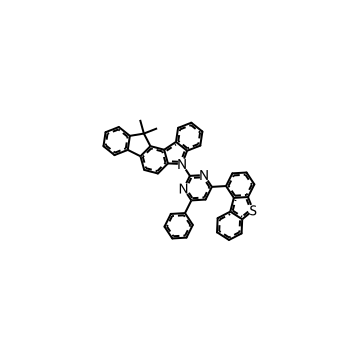 CC1(C)c2ccccc2-c2ccc3c(c21)c1ccccc1n3-c1nc(-c2ccccc2)cc(-c2cccc3sc4ccccc4c23)n1